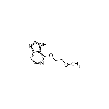 COCCOc1ncnc2nc[nH]c12